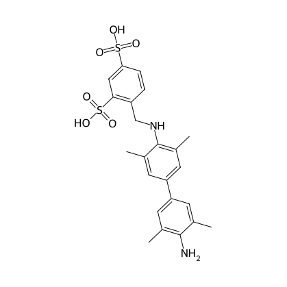 Cc1cc(-c2cc(C)c(NCc3ccc(S(=O)(=O)O)cc3S(=O)(=O)O)c(C)c2)cc(C)c1N